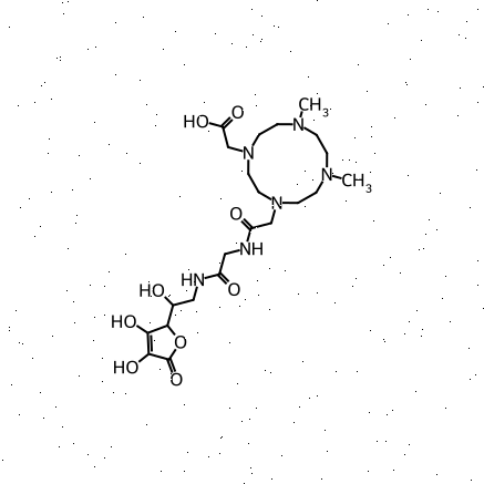 CN1CCN(C)CCN(CC(=O)NCC(=O)NCC(O)C2OC(=O)C(O)=C2O)CCN(CC(=O)O)CC1